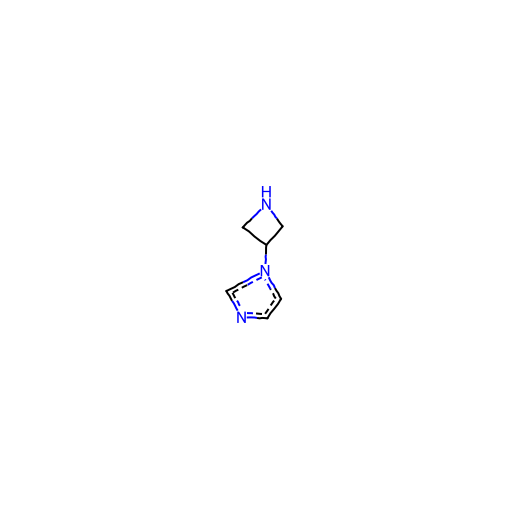 c1cn(C2CNC2)cn1